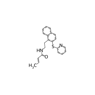 CC=CC(=O)NCCc1c(Sc2ccccn2)ccc2ccccc12